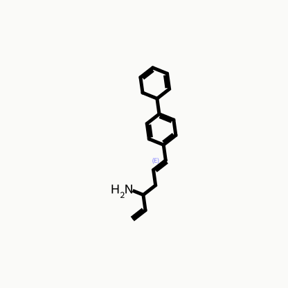 C=CC(N)C/C=C/c1ccc(C2C=CC=CC2)cc1